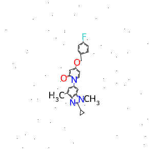 Cc1cc(-n2ccc(OCc3ccc(F)cc3)cc2=O)cc2c1nc(C1CC1)n2C